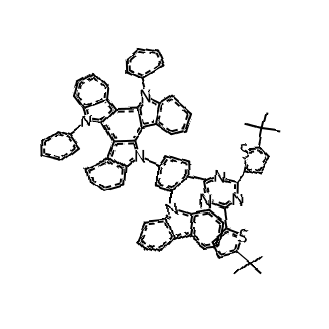 CC(C)(C)c1ccc(-c2nc(-c3ccc(C(C)(C)C)s3)nc(-c3ccc(-n4c5ccccc5c5c6c(c7ccccc7n6-c6ccccc6)c6c(c7ccccc7n6-c6ccccc6)c54)cc3-n3c4ccccc4c4ccccc43)n2)s1